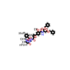 CCCCCC(C(=O)NCNC(=O)c1ccc(-c2ccc(C(=O)NC(CC(=O)OCc3ccccc3)C(=O)OCc3ccccc3)c(OCC)c2)o1)[C@@H](CC)N(C=O)OC(=O)c1ccc(OC)cc1OC